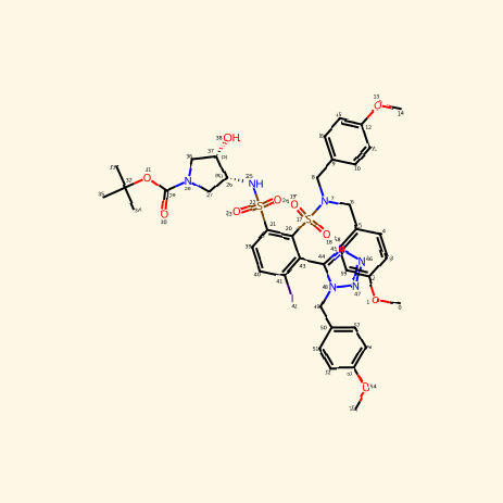 COc1ccc(CN(Cc2ccc(OC)cc2)S(=O)(=O)c2c(S(=O)(=O)N[C@@H]3CN(C(=O)OC(C)(C)C)C[C@@H]3O)ccc(I)c2-c2nnnn2Cc2ccc(OC)cc2)cc1